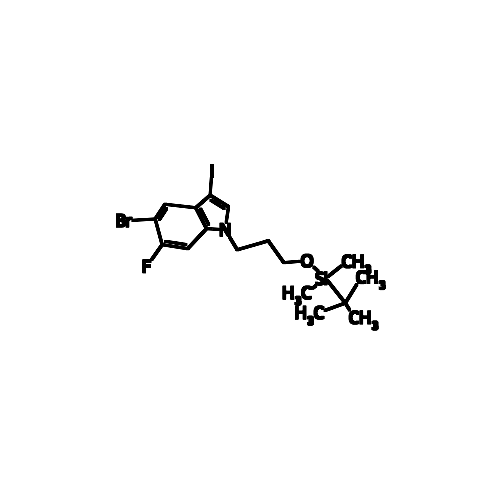 CC(C)(C)[Si](C)(C)OCCCn1cc(I)c2cc(Br)c(F)cc21